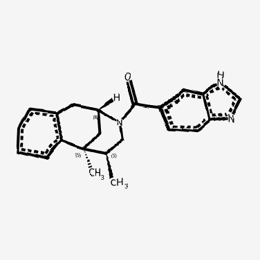 C[C@@H]1CN(C(=O)c2ccc3nc[nH]c3c2)[C@H]2Cc3ccccc3[C@@]1(C)C2